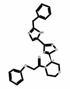 O=C(COc1ccccc1)N1CCOC[C@@H]1c1nc(-c2cnc(Cc3ccccc3)[nH]2)no1